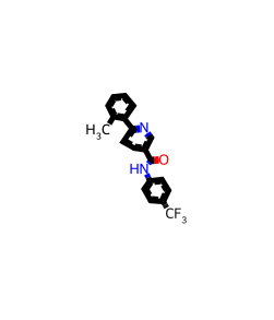 Cc1ccccc1-c1ccc(C(=O)Nc2ccc(C(F)(F)F)cc2)cn1